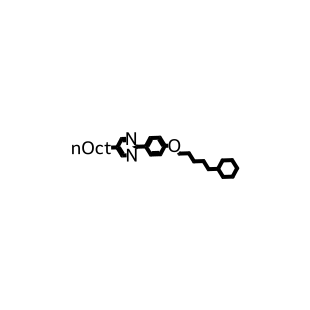 CCCCCCCCc1cnc(-c2ccc(OCCCCCC3CCCCC3)cc2)nc1